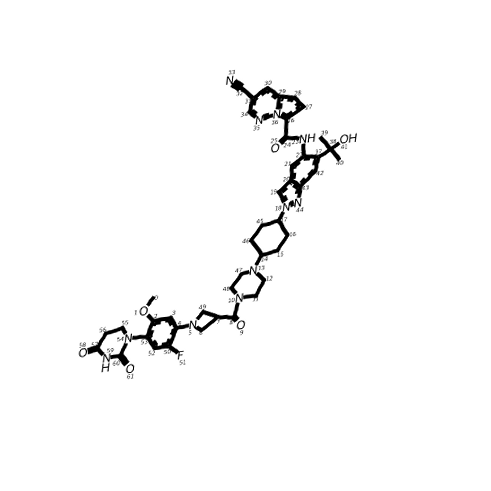 COc1cc(N2CC(C(=O)N3CCN(C4CCC(n5cc6cc(NC(=O)c7ccc8cc(C#N)cnn78)c(C(C)(C)O)cc6n5)CC4)CC3)C2)c(F)cc1N1CCC(=O)NC1=O